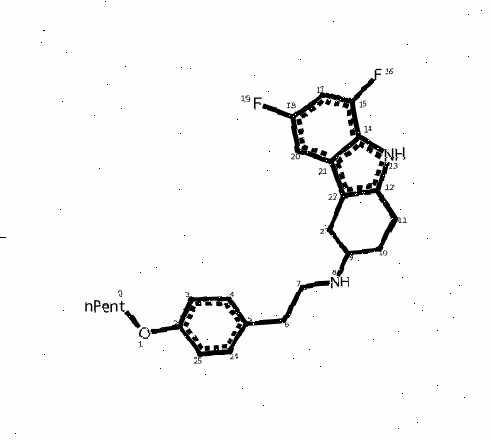 CCCCCOc1ccc(CCNC2CCc3[nH]c4c(F)cc(F)cc4c3C2)cc1